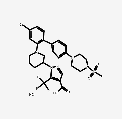 CS(=O)(=O)N1CCN(c2ccc(-c3ccc(Cl)cc3N3CCCC(n4ncc(C(=O)O)c4C(F)(F)F)C3)cc2)CC1.Cl